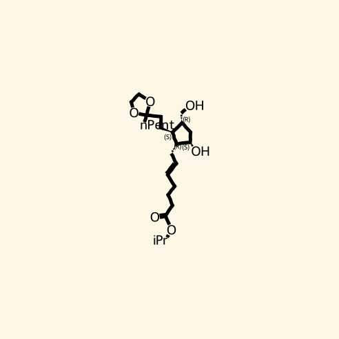 CCCCCC1(CC[C@H]2[C@H](CO)C[C@H](O)[C@@H]2CC=CCCCC(=O)OC(C)C)OCCO1